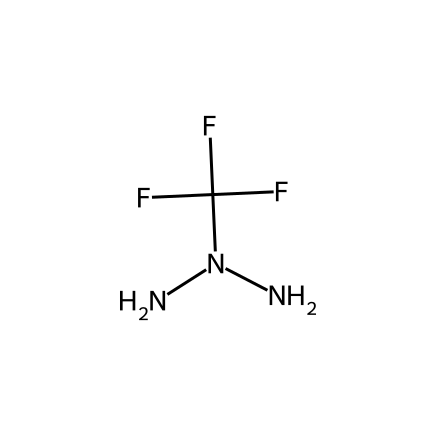 NN(N)C(F)(F)F